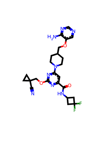 N#CC1(COc2nc(C(=O)NC3CC(F)(F)C3)cc(N3CCC(COc4cncnc4N)CC3)n2)CC1